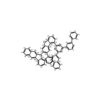 c1ccc(-c2cccc(-c3nc(-c4ccc5ccccc5c4)nc(-c4cccc5oc6cc(-n7c8ccccc8c8cc9ccccc9cc87)c(-c7ccccc7)cc6c45)n3)c2)cc1